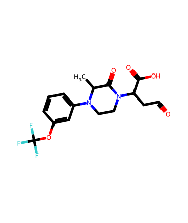 CC1C(=O)N(C(CC=O)C(=O)O)CCN1c1cccc(OC(F)(F)F)c1